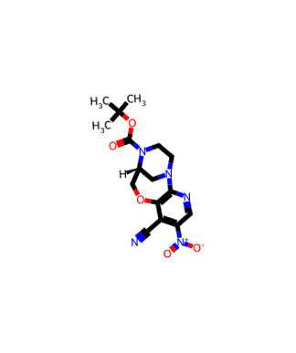 CC(C)(C)OC(=O)N1CCN2C[C@@H]1COc1c2ncc([N+](=O)[O-])c1C#N